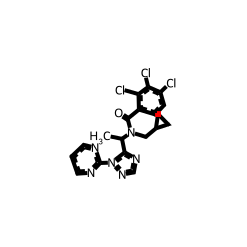 CC(c1ncnn1-c1ncccn1)N(CC1CC1)C(=O)c1ccc(Cl)c(Cl)c1Cl